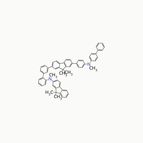 CN(c1ccc(-c2ccccc2)cc1)c1ccc(-c2ccc3c(c2)C(C)(C)c2cc(-c4cccc(-c5ccccc5N(C)c5ccc6c(c5)C(C)(C)c5ccccc5-6)c4)ccc2-3)cc1